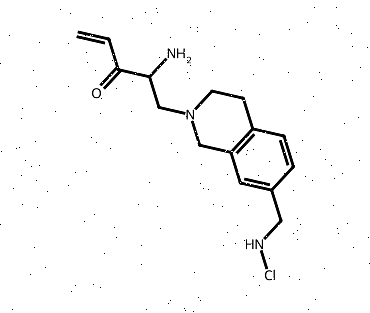 C=CC(=O)C(N)CN1CCc2ccc(CNCl)cc2C1